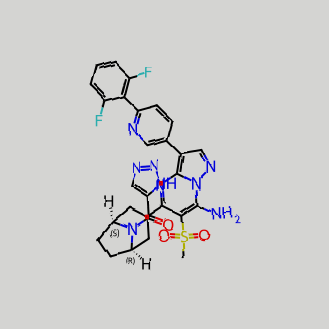 CS(=O)(=O)c1c(C2C[C@H]3CC[C@@H](C2)N3C(=O)c2cnn[nH]2)nc2c(-c3ccc(-c4c(F)cccc4F)nc3)cnn2c1N